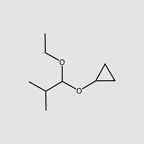 C[CH]OC(OC1CC1)C(C)C